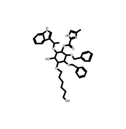 Cc1c[nH]c(C(=O)OC2C(OC(C)c3c[nH]c4ccccc34)C(O)C(OCCCCCCO)C(OCc3ccccc3)C2OCc2ccccc2)n1